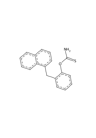 NC(=S)Oc1ccccc1Cc1cccc2ccccc12